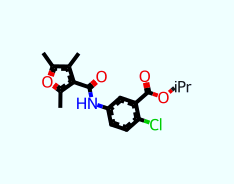 Cc1oc(C)c(C(=O)Nc2ccc(Cl)c(C(=O)OC(C)C)c2)c1C